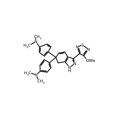 COc1nsnc1-c1n[nH]c2c1C=CC(c1ccc(N(C)C)cc1)(c1ccc(N(C)C)cc1)C2